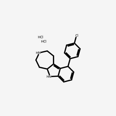 Cl.Cl.Clc1ccc(C2C=CC=C3NC4CCNCCC4=C32)cc1